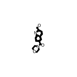 O=Cc1ccc2cc(C(=O)N3CCOCC3)ccc2n1